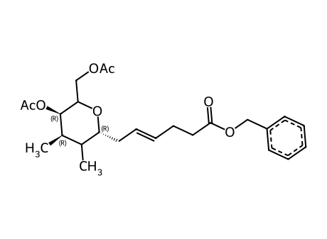 CC(=O)OCC1O[C@H](CC=CCCC(=O)OCc2ccccc2)C(C)[C@@H](C)[C@H]1OC(C)=O